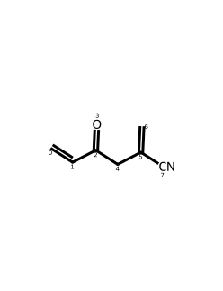 C=CC(=O)CC(=C)C#N